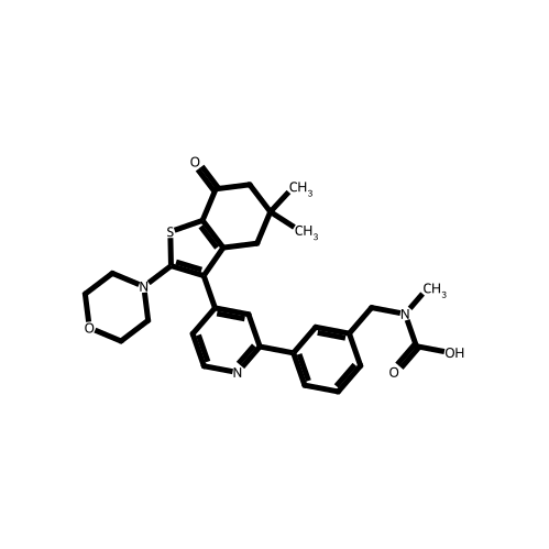 CN(Cc1cccc(-c2cc(-c3c(N4CCOCC4)sc4c3CC(C)(C)CC4=O)ccn2)c1)C(=O)O